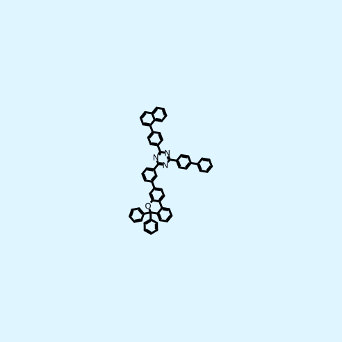 c1ccc(-c2ccc(-c3nc(-c4ccc(-c5cccc6ccccc56)cc4)nc(-c4cccc(-c5ccc6c(c5)OC(c5ccccc5)(c5ccccc5)c5ccccc5-6)c4)n3)cc2)cc1